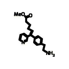 COC(=O)CCC/C=C(/c1ccc(CCN)cc1)c1cccnc1